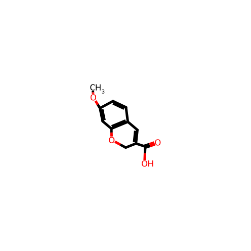 COc1ccc2c(c1)OCC(C(=O)O)=C2